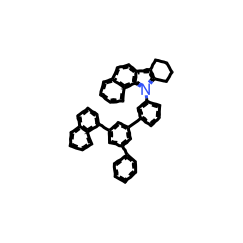 c1ccc(-c2cc(-c3cccc(-n4c5c(c6ccc7ccccc7c64)CCCC5)c3)cc(-c3cccc4ccccc34)c2)cc1